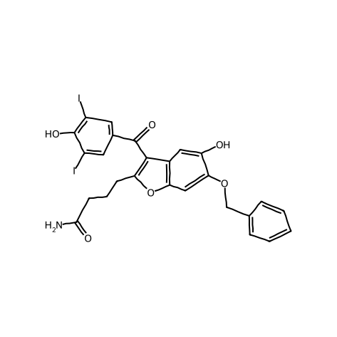 NC(=O)CCCc1oc2cc(OCc3ccccc3)c(O)cc2c1C(=O)c1cc(I)c(O)c(I)c1